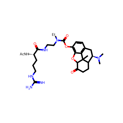 CCN(CCNC(=O)[C@H](CCCNC(=N)N)NC(C)=O)C(=O)Oc1ccc2c3c1OC1C(=O)CCC([C@H](N(C)C)C2)C31C